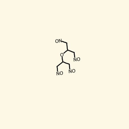 O=NCC(CN=O)OC(CN=O)CN=O